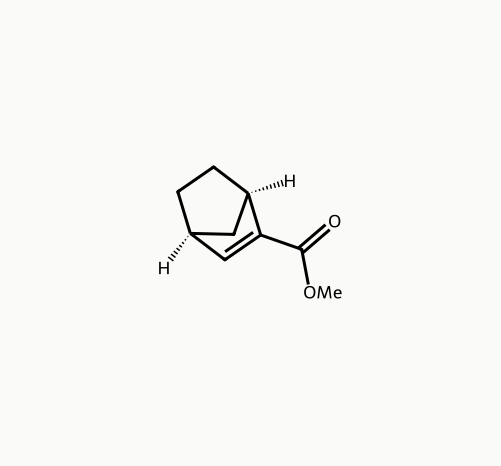 COC(=O)C1=C[C@H]2CC[C@@H]1C2